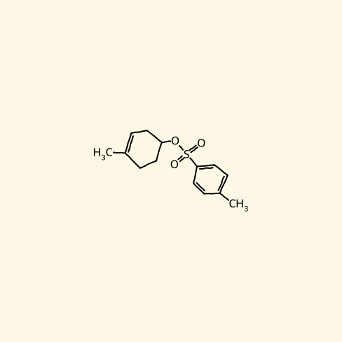 CC1=CCC(OS(=O)(=O)c2ccc(C)cc2)CC1